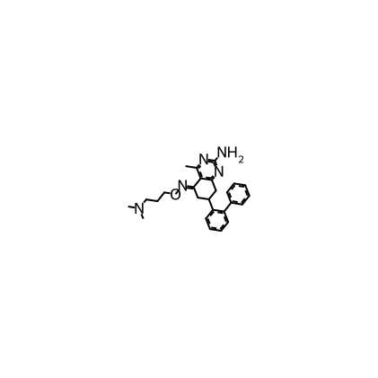 Cc1nc(N)nc2c1C(=NOCCCN(C)C)CC(c1ccccc1-c1ccccc1)C2